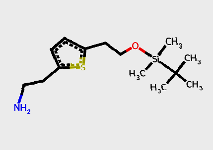 CC(C)(C)[Si](C)(C)OCCc1ccc(CCN)s1